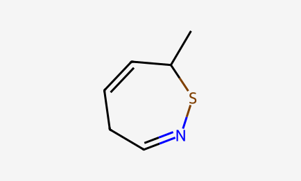 CC1C=CCC=NS1